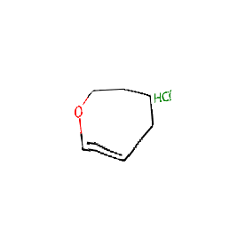 C1=COCCC1.Cl